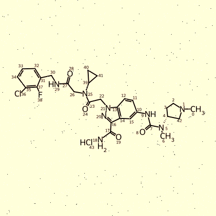 CN1CC[C@@H](N(C)C(=O)Nc2ccc3c(c2)c(C(N)=O)nn3CC(=O)N(CC(=O)NCc2cccc(Cl)c2F)C2CC2)C1.Cl